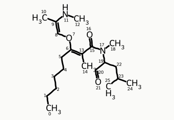 CCCCCC/C(O/C=C(/C)NC)=C(\C)C(=O)N(C)C(C=O)CC(C)C